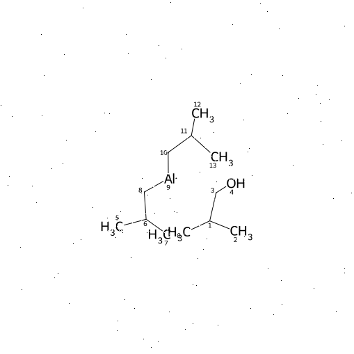 CC(C)CO.CC(C)[CH2][Al][CH2]C(C)C